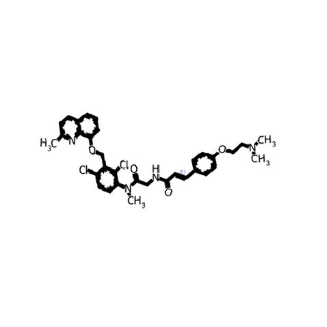 Cc1ccc2cccc(OCc3c(Cl)ccc(N(C)C(=O)CNC(=O)/C=C/c4ccc(OCCN(C)C)cc4)c3Cl)c2n1